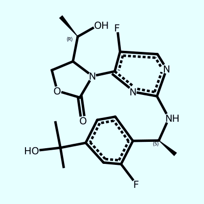 C[C@H](Nc1ncc(F)c(N2C(=O)OCC2[C@@H](C)O)n1)c1ccc(C(C)(C)O)cc1F